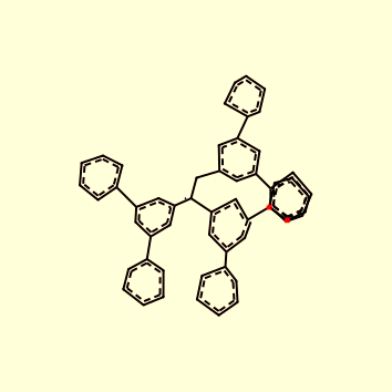 c1ccc(-c2cc(C[C](c3cc(-c4ccccc4)cc(-c4ccccc4)c3)c3cc(-c4ccccc4)cc(-c4ccccc4)c3)cc(-c3ccccc3)c2)cc1